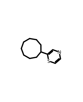 C1=CSC(C2CCCCCCCC2)=C[N]1